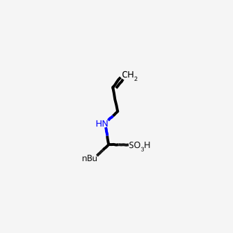 C=CCNC(CCCC)S(=O)(=O)O